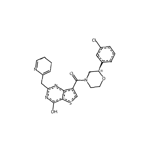 O=C(c1csc2c(O)nc(CC3=CCCC=N3)nc12)N1CCO[C@H](c2cccc(Cl)c2)C1